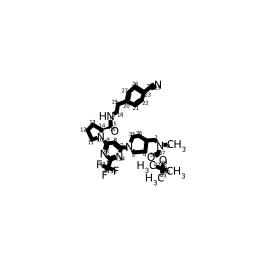 CN(CC1CCN(c2cc(N3CCC[C@H]3C(=O)NCCc3ccc(C#N)cc3)nc(C(F)(F)F)n2)CC1)C(=O)OC(C)(C)C